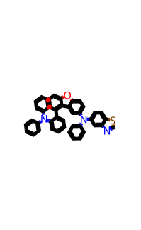 c1ccc(N(c2ccc3scnc3c2)c2ccc3oc4cccc(-c5ccccc5N(c5ccccc5)c5ccccc5)c4c3c2)cc1